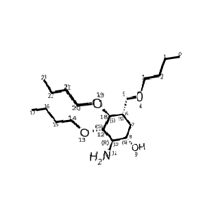 CCCCOC[C@@H]1C[C@H](O)[C@@H](N)[C@H](OCCCC)[C@H]1OCCCC